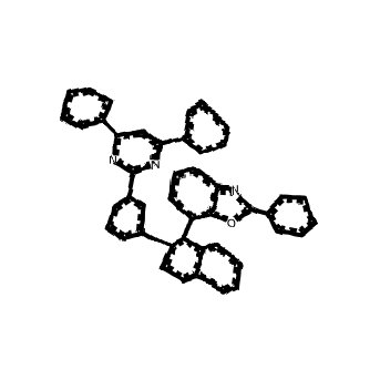 c1ccc(-c2cc(-c3ccccc3)nc(-c3cccc(-c4ccc5ccccc5c4-c4cccc5nc(-c6ccccc6)oc45)c3)n2)cc1